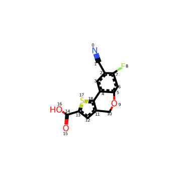 N#Cc1cc2c(cc1F)OCc1cc(C(=O)O)sc1-2